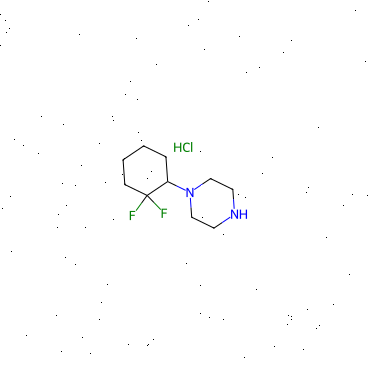 Cl.FC1(F)CCCCC1N1CCNCC1